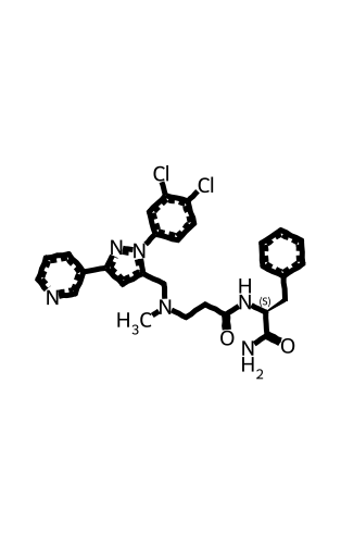 CN(CCC(=O)N[C@@H](Cc1ccccc1)C(N)=O)Cc1cc(-c2cccnc2)nn1-c1ccc(Cl)c(Cl)c1